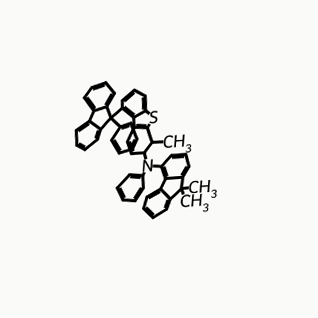 CC1c2sc3cccc(C4(c5ccccc5)c5ccccc5-c5ccccc54)c3c2C=CC1N(c1ccccc1)c1cccc2c1-c1ccccc1C2(C)C